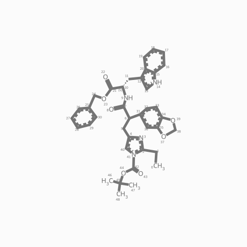 CCc1nc(CC(C(=O)N[C@@H](Cc2c[nH]c3ccccc23)C(=O)OCc2ccccc2)c2ccc3c(c2)OCO3)cn1C(=O)OC(C)(C)C